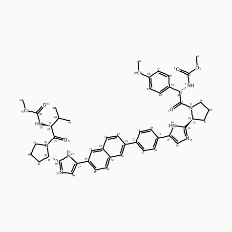 COC(=O)N[C@H](C(=O)N1CCC[C@H]1c1ncc(-c2ccc(-c3ccc4cc(-c5cnc([C@@H]6CCCN6C(=O)[C@@H](NC(=O)OC)C(C)C)[nH]5)ccc4c3)cc2)[nH]1)c1ccc(OC)cc1